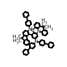 CC1(C)c2ccccc2-c2c1ccc1c2-c2cc(N(c3ccc(-c4ccccc4)cc3)c3ccc(-c4ccccc4)cc3)cc3c2B(c2cccc4c2N3c2ccccc2C4(C)C)N1c1ccc(-c2ccccc2)cc1